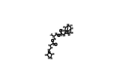 [CH2]C(COC(=O)CCCN1CCCC1)COC(=O)CC1C2CC3CC(C2)CC1C3